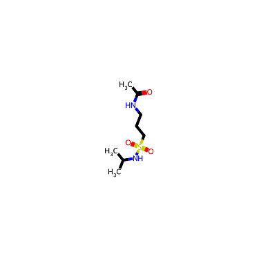 CC(=O)NCCCS(=O)(=O)NC(C)C